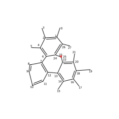 Cc1c(C)c(C)c(-c2[c]cccc2-c2c(C)c(C)c(C)c(C)c2C)c(C)c1C